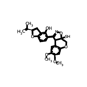 C=C(C)[C@H]1Cc2c(ccc(C3=NOC4(S)COc5cc(OC)c(OC)cc5C34)c2O)O1